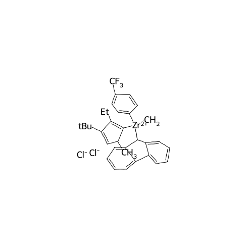 [CH2]=[Zr+2]([C]1=C(CC)C(C(C)(C)C)=CC1C)([c]1ccc(C(F)(F)F)cc1)[CH]1c2ccccc2-c2ccccc21.[Cl-].[Cl-]